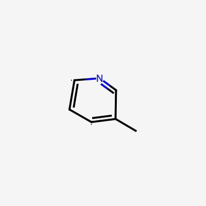 Cc1[c]c[c]nc1